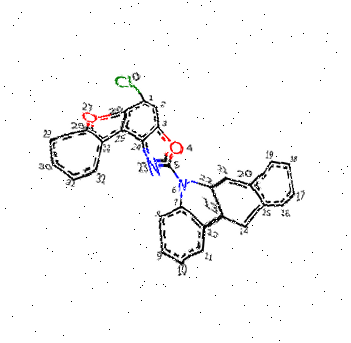 Clc1cc2oc(N3c4ccccc4C4C=c5ccccc5=CC43)nc2c2c1oc1ccccc12